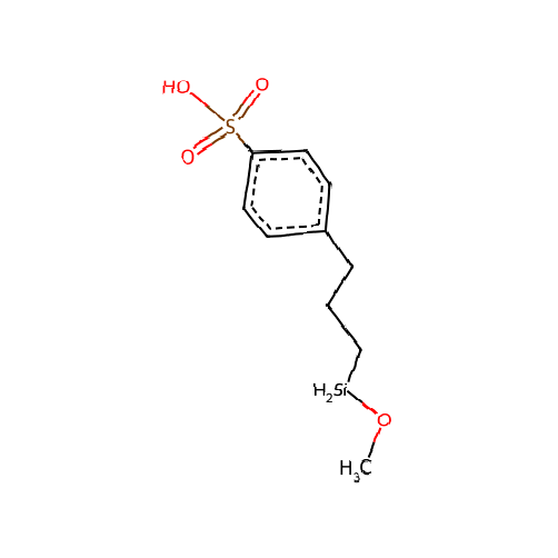 CO[SiH2]CCCc1ccc(S(=O)(=O)O)cc1